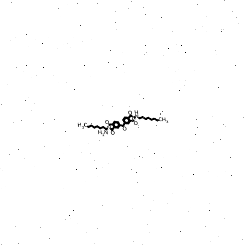 CCCCCCCCNN1C(=O)c2ccc(C(=O)c3ccc4c(c3)C(=O)N(C(N)CCCCCCC)C4=O)cc2C1=O